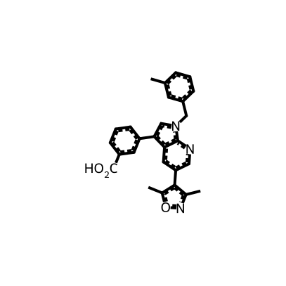 Cc1cccc(Cn2cc(-c3cccc(C(=O)O)c3)c3cc(-c4c(C)noc4C)cnc32)c1